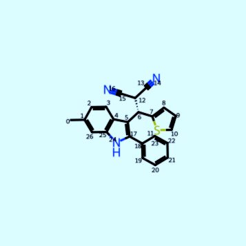 Cc1ccc2c([C@@H](c3cccs3)C(C#N)C#N)c(-c3ccccc3)[nH]c2c1